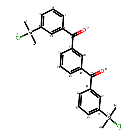 C[Si](C)(Cl)c1cccc(C(=O)c2cccc(C(=O)c3cccc([Si](C)(C)Cl)c3)c2)c1